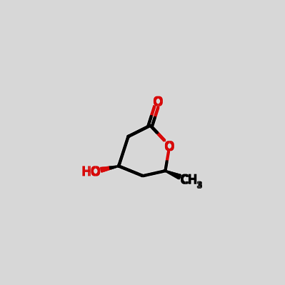 C[C@H]1C[C@@H](O)CC(=O)O1